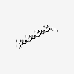 CC(N)CNCC(N)CNCC(N)CNCC(C)N